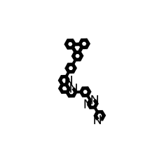 c1cncc(-c2cnc(-c3cccc(-c4ccc5ccc6ccc(-c7ccc(-c8ccc9c%10ccccc%10c%10ccccc%10c9c8)cc7)nc6c5n4)c3)nc2)c1